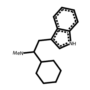 CNC(Cc1c[nH]c2ccccc12)C1CCCCC1